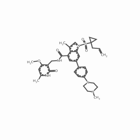 C=CCC1(S(=O)(=O)n2cc(C)c3c(C(=O)NCc4c(OC)cc(C)[nH]c4=O)cc(-c4ccc(N5CCN(C)CC5)cc4)cc32)CC1